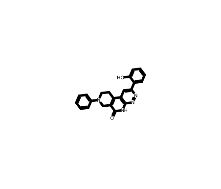 O=c1[nH]c2nnc(-c3ccccc3O)cc2c2c1CN(c1ccccc1)CC2